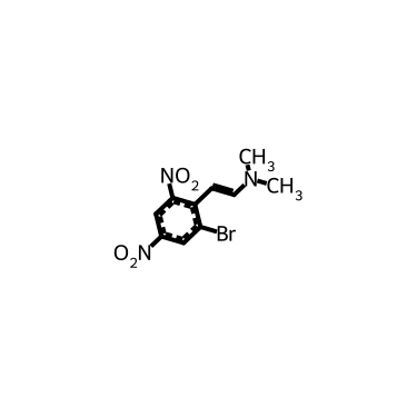 CN(C)/C=C/c1c(Br)cc([N+](=O)[O-])cc1[N+](=O)[O-]